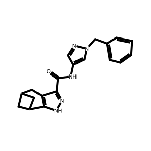 O=C(Nc1cnn(Cc2ccccc2)c1)c1n[nH]c2c1CC1CC2C1